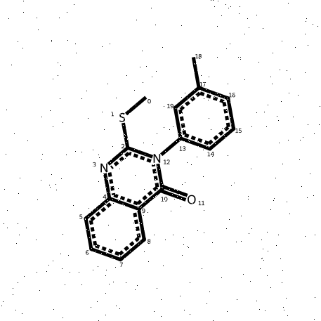 CSc1nc2ccccc2c(=O)n1-c1cccc(C)c1